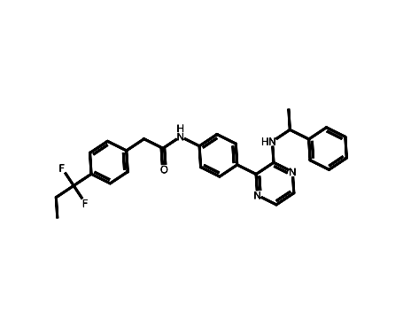 CCC(F)(F)c1ccc(CC(=O)Nc2ccc(-c3nccnc3NC(C)c3ccccc3)cc2)cc1